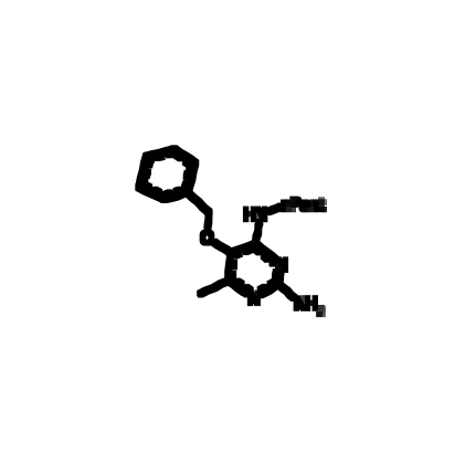 CCCCCNc1nc(N)nc(C)c1OCc1ccccc1